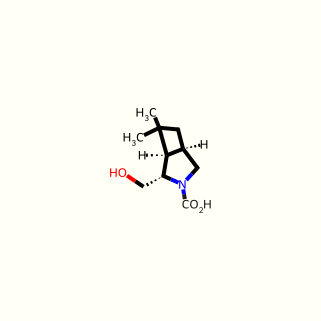 CC1(C)C[C@H]2CN(C(=O)O)[C@H](CO)[C@H]21